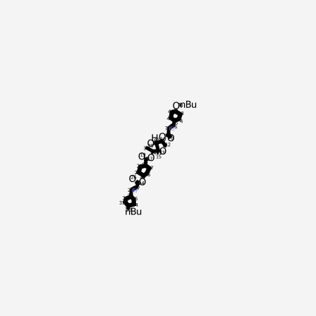 CCCCOc1ccc(/C=C/C(=O)O[C@@H]2CO[C@]3(C)[C@@H](OC(=O)c4ccc(OC(=O)/C=C/c5ccc(CCCC)cc5)cc4)CO[C@H]23)cc1